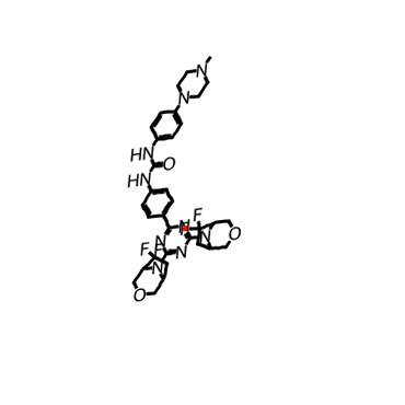 CN1CCN(c2ccc(NC(=O)Nc3ccc(-c4nc(N5C6COCC5C(F)(F)C6)nc(N5C6COCC5C(F)(F)C6)n4)cc3)cc2)CC1